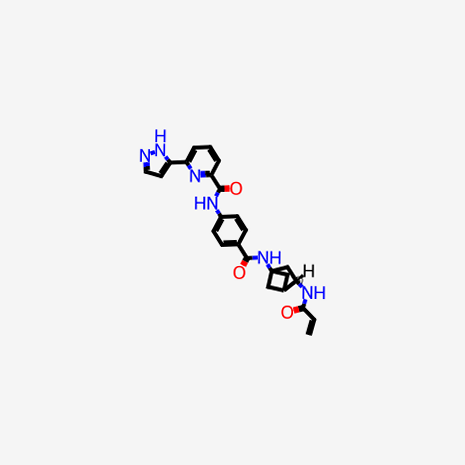 C=CC(=O)N[C@H]1CC2(NC(=O)c3ccc(NC(=O)c4cccc(-c5ccn[nH]5)n4)cc3)CC1C2